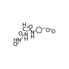 C[C@H](NC(=O)CNC=O)C(=O)Nc1ccc(COC=O)cc1